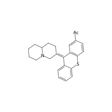 CC(=O)c1ccc2c(c1)C(=C1CCC3CCCCN3C1)c1ccccc1S2